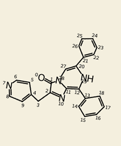 O=c1c(Cc2ccncc2)nc2c(-c3ccccc3)[nH]c(-c3ccccc3)cn1-2